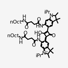 CCCCCCCCNC(=O)CCC(=O)Nc1cc2c(cc1C1=C(O)/C(=c3/cc4c(cc3NC(=O)CCC(=O)NCCCCCCCC)=[N+](C(C)C)C(C)C4(C)C)C1=O)C(C)(C)C(C)N2C(C)C